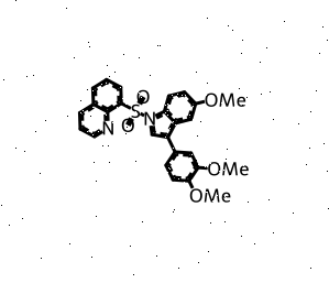 COc1ccc2c(c1)c(-c1ccc(OC)c(OC)c1)cn2S(=O)(=O)c1cccc2cccnc12